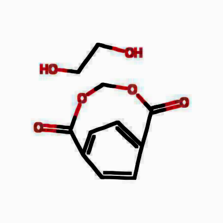 O=C1OCOC(=O)c2ccc1cc2.OCCO